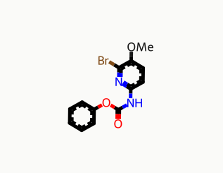 COc1ccc(NC(=O)Oc2ccccc2)nc1Br